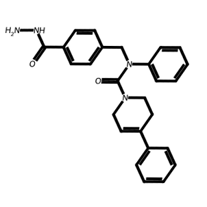 NNC(=O)c1ccc(CN(C(=O)N2CC=C(c3ccccc3)CC2)c2ccccc2)cc1